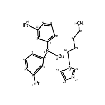 CCCCB(c1cccc(C(C)C)c1)c1cccc(C(C)C)c1.N#CCCCCn1ccnc1